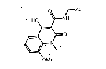 COc1cccc2c(O)c(C(=O)NCC(C)=O)c(=O)n(C)c12